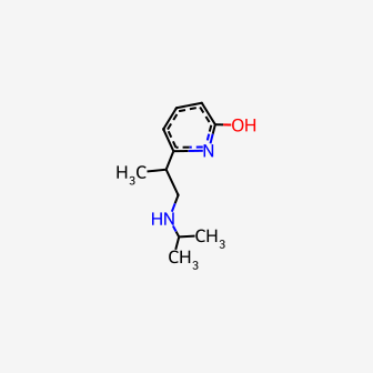 CC(C)NCC(C)c1cccc(O)n1